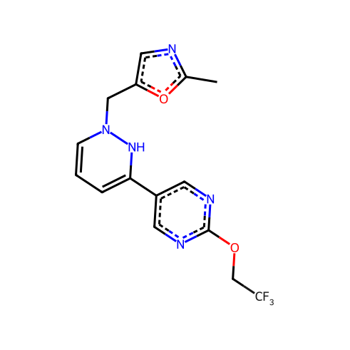 Cc1ncc(CN2C=CC=C(c3cnc(OCC(F)(F)F)nc3)N2)o1